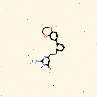 Cn1c(N)nc(CCc2cccc(-c3ccc4c(c3)OCCCO4)c2)cc1=O